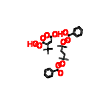 CC(C)(C)C(=CC(=O)O)C(=O)OO.CC(C)(CCC(C)(C)OOC(=O)c1ccccc1)OOC(=O)c1ccccc1